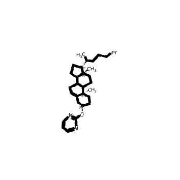 CC(C)CCCC(C)[C@H]1CCC2C3CC=C4C[C@@H](Oc5ncccn5)CC[C@]4(C)C3CC[C@@]21C